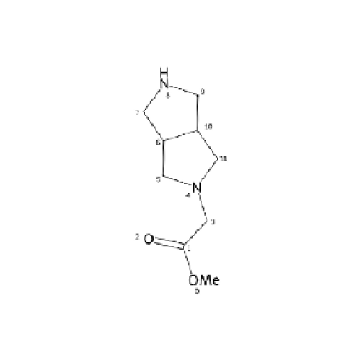 COC(=O)CN1CC2CNCC2C1